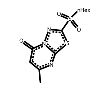 CCCCCCS(=O)(=O)c1nn2c(=O)cc(C)nc2s1